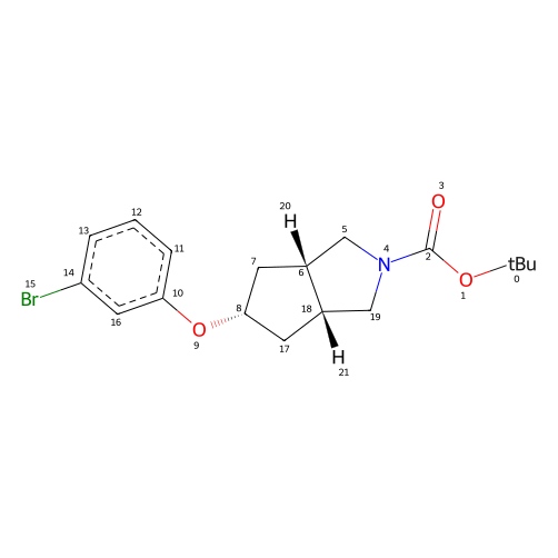 CC(C)(C)OC(=O)N1C[C@H]2C[C@@H](Oc3cccc(Br)c3)C[C@H]2C1